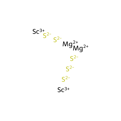 [Mg+2].[Mg+2].[S-2].[S-2].[S-2].[S-2].[S-2].[Sc+3].[Sc+3]